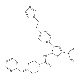 NC(=O)C1=CN(c2ccc(CCn3ccnn3)cc2)C(NC(=O)N2CCC(=Cc3ccccn3)CC2)S1